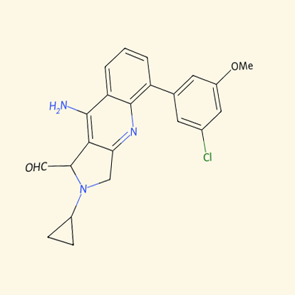 COc1cc(Cl)cc(-c2cccc3c(N)c4c(nc23)CN(C2CC2)C4C=O)c1